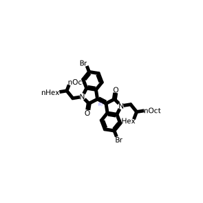 CCCCCCCCC(CCCCCC)CN1C(=O)/C(=C2/C(=O)N(CC(CCCCCC)CCCCCCCC)c3cc(Br)ccc32)c2ccc(Br)cc21